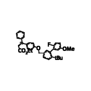 CCOC(=O)C[C@@H](c1ccccc1)c1ccc(OCc2ccc(C(C)(C)C)c(-c3cc(OC)ccc3F)c2)cc1